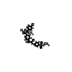 CCS(=O)(=O)c1ccc(CC(=O)Nc2ccc(C(=O)C(C)(C)c3ccc(Cl)cn3)nc2)cc1